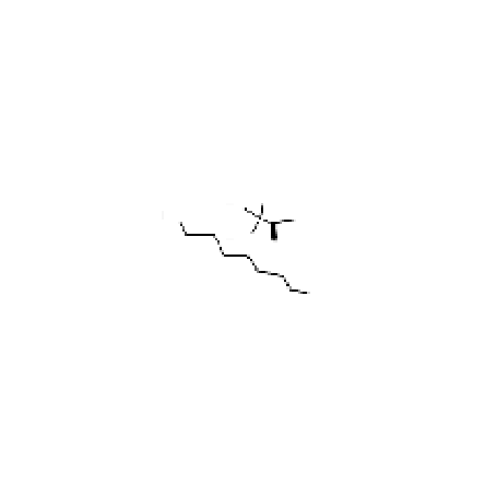 CC(C)(S)C(=O)O.CCCCCCCCS